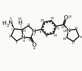 N[C@@H]1CCN2C(=O)N(c3ccc(C(=O)N4CCCC4)cc3)C[C@H]12